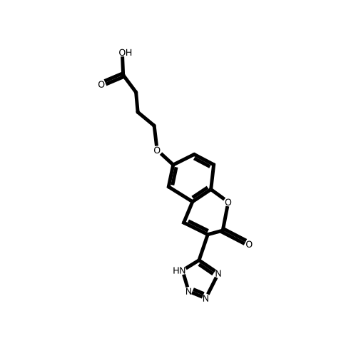 O=C(O)CCCOc1ccc2oc(=O)c(-c3nnn[nH]3)cc2c1